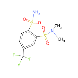 CN(C)S(=O)(=O)c1cc(C(F)(F)F)ccc1S(N)(=O)=O